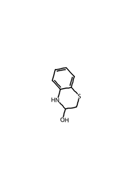 OC1CSc2ccccc2N1